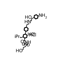 CC(C)Cc1cc(-c2ccc(CCNC[C@H](O)c3ccc(N)cc3)cc2)ccc1C(=O)NS(=O)(=O)CCCO.Cl.Cl